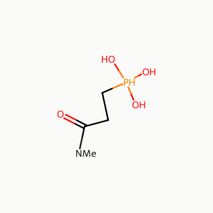 CNC(=O)CC[PH](O)(O)O